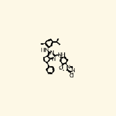 COc1cc(Nc2nc(Nc3cc(C(C)C)ccc3C)c3c(n2)C(c2ccccc2)CC3)ccc1-n1cnc(Cl)c1